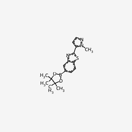 Cn1nccc1-c1nc2cc(B3OC(C)(C)C(C)(C)O3)ccc2s1